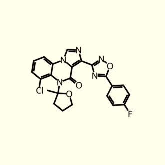 CC1(n2c(=O)c3c(-c4noc(-c5ccc(F)cc5)n4)ncn3c3cccc(Cl)c32)CCCO1